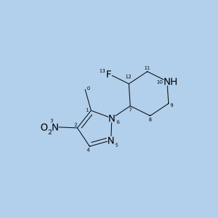 Cc1c([N+](=O)[O-])cnn1C1CCNCC1F